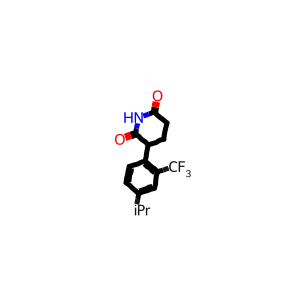 CC(C)c1ccc(C2CCC(=O)NC2=O)c(C(F)(F)F)c1